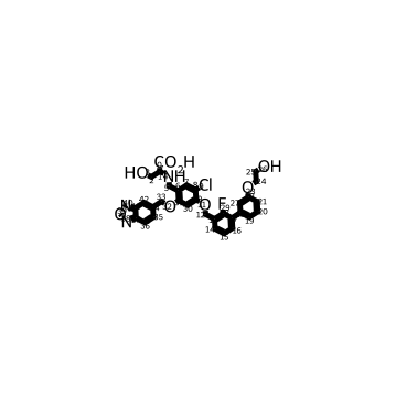 O=C(O)C(CO)NCc1cc(Cl)c(OCc2cccc(-c3cccc(OCCO)c3)c2F)cc1OCc1ccc2nonc2c1